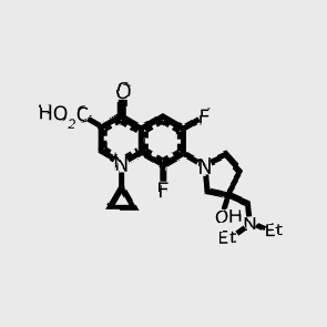 CCN(CC)CC1(O)CCN(c2c(F)cc3c(=O)c(C(=O)O)cn(C4CC4)c3c2F)C1